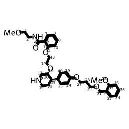 COCCNC(=O)c1ccccc1OCCO[C@H]1CNCC[C@@H]1c1ccc(OCCCOCc2ccccc2OC)cc1